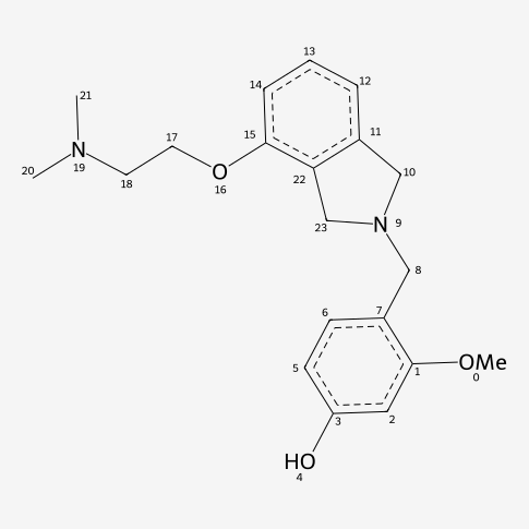 COc1cc(O)ccc1CN1Cc2cccc(OCCN(C)C)c2C1